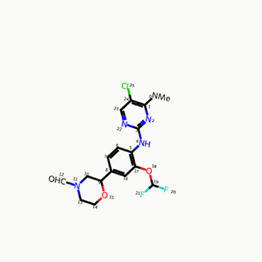 CNc1nc(Nc2ccc(C3CN(C=O)CCO3)cc2OC(F)F)ncc1Cl